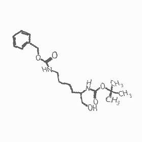 CC(C)(C)OC(=O)NC(CO)CCCCNC(=O)OCc1ccccc1